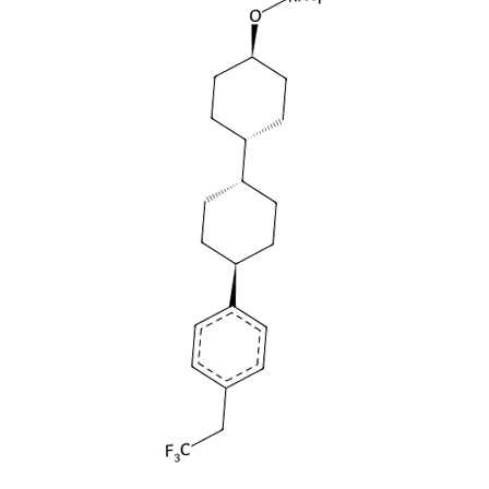 CCCCCCCO[C@H]1CC[C@H]([C@H]2CC[C@H](c3ccc(CC(F)(F)F)cc3)CC2)CC1